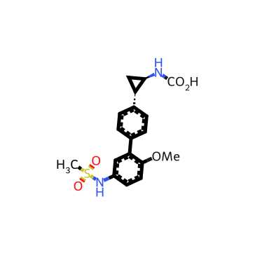 COc1ccc(NS(C)(=O)=O)cc1-c1ccc([C@@H]2C[C@H]2NC(=O)O)cc1